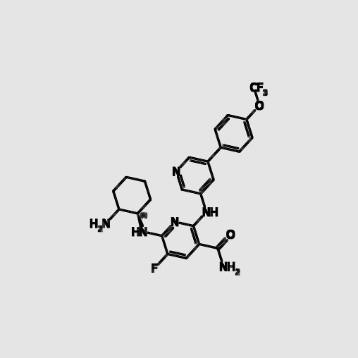 NC(=O)c1cc(F)c(N[C@@H]2CCCCC2N)nc1Nc1cncc(-c2ccc(OC(F)(F)F)cc2)c1